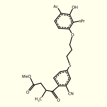 CCCc1c(OCCCSc2ccc(C(=O)C(C)CC(=O)OC)c(C#N)c2)ccc(C(C)=O)c1O